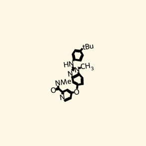 CNC(=O)c1cc(Oc2ccc3c(c2)nc(Nc2ccc(C(C)(C)C)cc2)n3C)ccn1